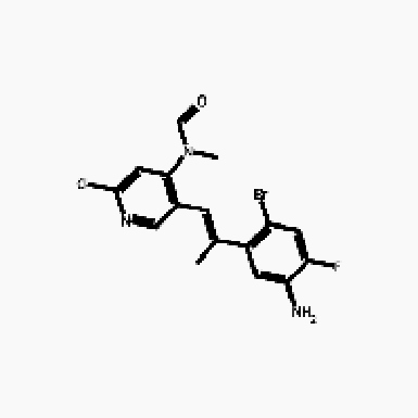 C/C(=C\c1cnc(Cl)cc1N(C)C=O)c1cc(N)c(F)cc1Br